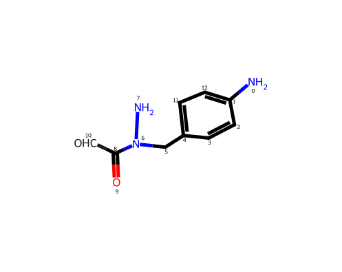 Nc1ccc(CN(N)C(=O)C=O)cc1